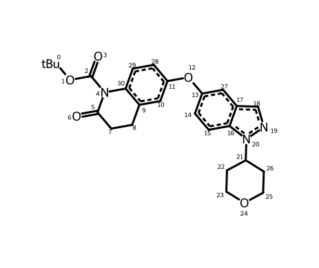 CC(C)(C)OC(=O)N1C(=O)CCc2cc(Oc3ccc4c(cnn4C4CCOCC4)c3)ccc21